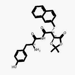 CC1(C)OC(=O)[C@H]([C@@H](Cc2ccc3ccccc3c2)C(=O)NC(=O)[C@@H](N)Cc2ccc(O)cc2)O1